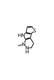 CN1NCCc2c1[nH]c1ccsc21